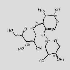 OCC1O[C@@H](OC2C(O[C@H]3CC(O)[C@H](O)CO3)=CO[C@@H](O)C2O)CC(O)[C@@H]1O